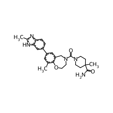 Cc1nc2ccc(-c3cc(C)c4c(c3)CN(C(=O)N3CCC(C)(C(N)=O)CC3)CCO4)cc2[nH]1